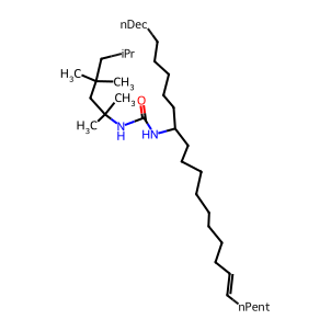 CCCCC/C=C/CCCCCCCCC(CCCCCCCCCCCCCCC)NC(=O)NC(C)(C)CC(C)(C)CC(C)C